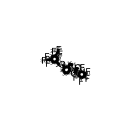 O=S(=O)(c1c(F)c(F)c(F)c(F)c1F)n1ccc2c(OCc3cc(C(F)(F)F)cc(C(F)(F)F)c3)cccc21